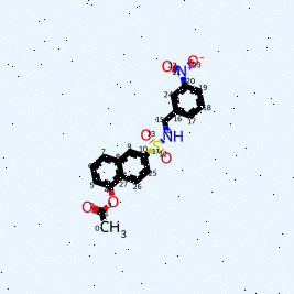 CC(=O)Oc1cccc2cc(S(=O)(=O)NCc3cccc([N+](=O)[O-])c3)ccc12